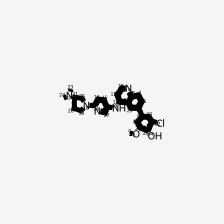 COc1cc(-c2ccc3nc[c]c(Nc4ccc(N5CCC(N(C)C)C5)nc4)c3c2)cc(Cl)c1O